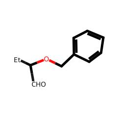 CCC(C=O)OCc1ccccc1